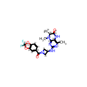 Cc1nc(NC2CN(C(=O)c3ccc4c(c3)OC(F)(F)O4)C2)nc2c1NC(=O)[C@H](C(C)C)N2C